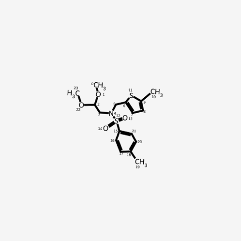 COC(CN(Cc1ccc(C)s1)S(=O)(=O)c1ccc(C)cc1)OC